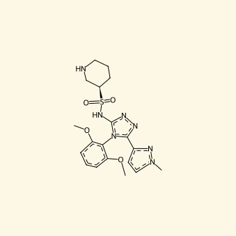 COc1cccc(OC)c1-n1c(NS(=O)(=O)[C@@H]2CCCNC2)nnc1-c1ccn(C)n1